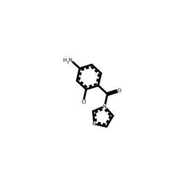 Nc1ccc(C(=O)n2ccnc2)c(Cl)c1